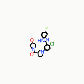 COC1CCN(C(=O)[C@@H]2CCCN(c3ccc(Cl)c(-c4nc5cc(F)ccc5[nH]4)c3)C2)CC1